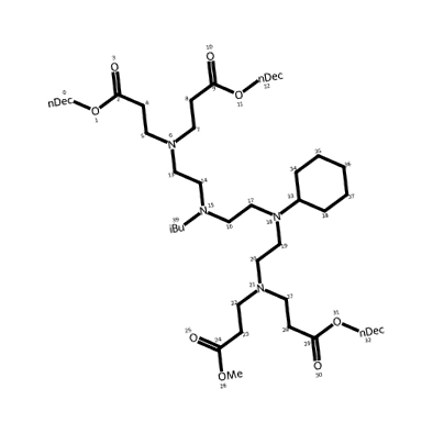 CCCCCCCCCCOC(=O)CCN(CCC(=O)OCCCCCCCCCC)CCN(CCN(CCN(CCC(=O)OC)CCC(=O)OCCCCCCCCCC)C1CCCCC1)C(C)CC